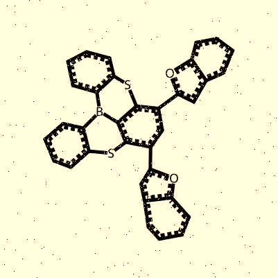 c1ccc2c(c1)Sc1c(-c3cc4ccccc4o3)cc(-c3cc4ccccc4o3)c3c1B2c1ccccc1S3